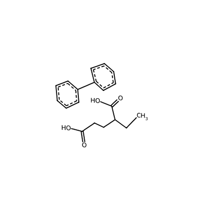 CCC(CCC(=O)O)C(=O)O.c1ccc(-c2ccccc2)cc1